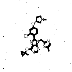 Cc1cnc(Cn2c(-c3ccc(O[C@H]4CCN(C)C4)cc3Cl)nc3c(OC4(C)CC4)ncnc32)s1